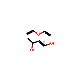 C=COC=C.CC(O)/C=C/O